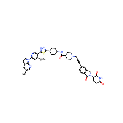 CNc1cc(-n2ccc3cc(C#N)cnc32)ncc1-c1nnc(C2CCC(NC(=O)C3CCN(CC#Cc4ccc5c(c4)CN(C4CCC(=O)NC4=O)C5=O)CC3)CC2)s1